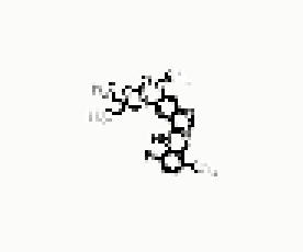 CCC1(CC)CN(c2cc3c(Nc4c(F)ccc(C)c4F)ncnc3cc2OC)C(=O)O1